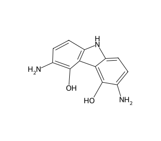 Nc1ccc2[nH]c3ccc(N)c(O)c3c2c1O